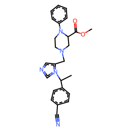 COC(=O)C1CN(Cc2cncn2C(C)c2ccc(C#N)cc2)CCN1c1ccccc1